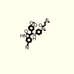 CN(C)CCC(=O)N(C)c1ccc(NC(=C2C(=O)Nc3cc(C#N)ccc32)c2ccc3c(c2)OCO3)cc1